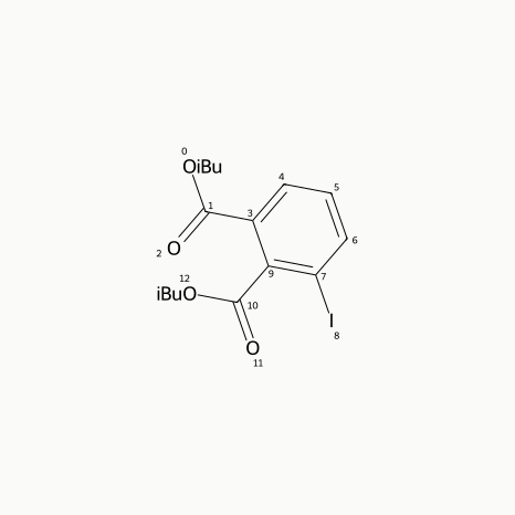 CC(C)COC(=O)c1cccc(I)c1C(=O)OCC(C)C